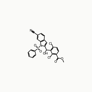 COC(=O)c1ccc(Cl)c(C(O)c2cc3ccc(C#N)cc3n2S(=O)(=O)c2ccccc2)c1Cl